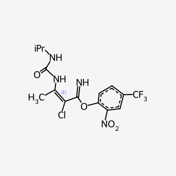 C/C(NC(=O)NC(C)C)=C(\Cl)C(=N)Oc1ccc(C(F)(F)F)cc1[N+](=O)[O-]